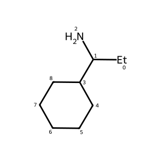 [CH2]CC(N)C1CCCCC1